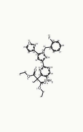 CCOC(=O)C(C)(C(=O)OCC)c1nc(-c2cc(-c3ccon3)n(Cc3ccccc3F)n2)ncc1N